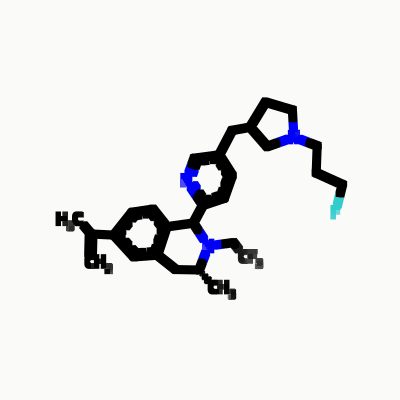 C=C(C)c1ccc2c(c1)C[C@@H](C)N(CC(F)(F)F)C2c1ccc(CC2CCN(CCCF)C2)cn1